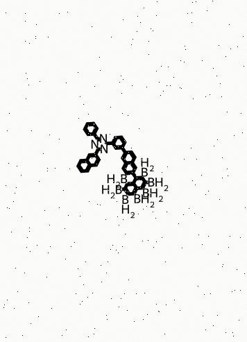 Bc1c(B)c(B)c2c(-c3ccc4cc(-c5cccc(-c6nc(-c7ccccc7)nc(-c7ccc8ccccc8c7)n6)c5)ccc4c3)c(B)c(B)c(B)c2c1B